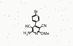 COc1nc(N)c(C#N)c(-c2ccc(Br)cc2)c1C#N